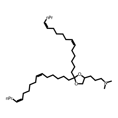 CCC/C=C\CCCC/C=C\CCCCCC1(CCCCC/C=C\CCCC/C=C\CCC)OCC(CCCN(C)C)O1